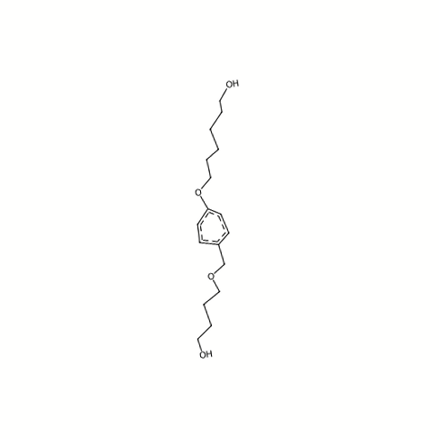 OCCCCCCOc1ccc(COCCCCO)cc1